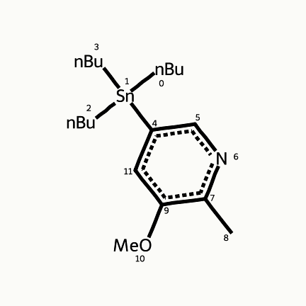 CCC[CH2][Sn]([CH2]CCC)([CH2]CCC)[c]1cnc(C)c(OC)c1